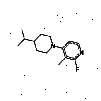 Cc1c(N2CCC(C(C)C)CC2)ccnc1F